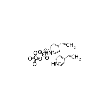 C=Cc1cc[nH+]cc1.C=Cc1cc[nH+]cc1.[O]=[Cr](=[O])([O-])[O][Cr](=[O])(=[O])[O-]